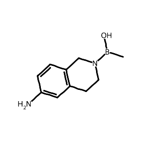 CB(O)N1CCc2cc(N)ccc2C1